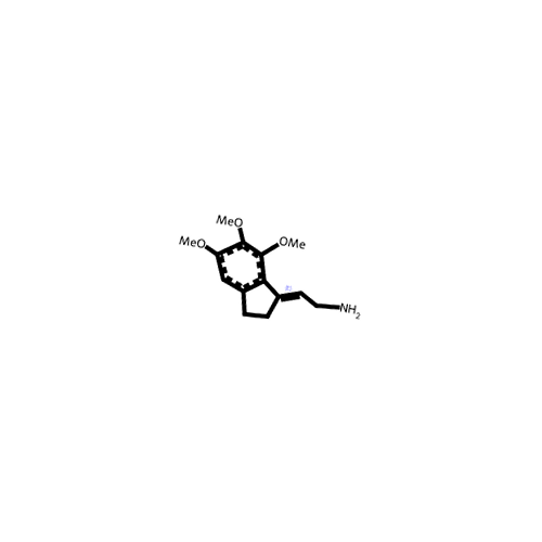 COc1cc2c(c(OC)c1OC)/C(=C/CN)CC2